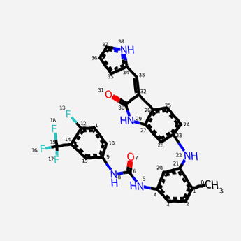 Cc1ccc(NC(=O)Nc2ccc(F)c(C(F)(F)F)c2)cc1Nc1ccc2c(c1)NC(=O)C2=Cc1ccc[nH]1